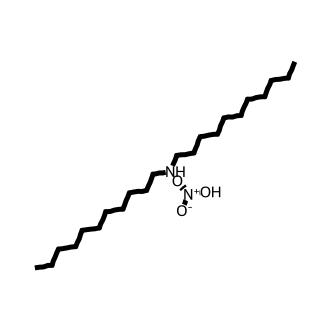 CCCCCCCCCCCNCCCCCCCCCCC.O=[N+]([O-])O